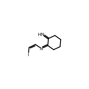 N=C1CCCC/C1=N/C=C\I